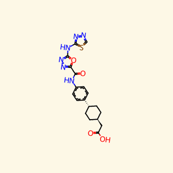 O=C(O)C[C@H]1CC[C@H](c2ccc(NC(=O)c3nnc(Nc4nncs4)o3)cc2)CC1